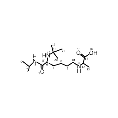 CC(C)NC(=O)[C@H](CCCCNC(C)C(=O)O)NC(C)(C)C